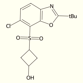 CC(C)(C)c1nc2ccc(Cl)c(S(=O)(=O)C3CC(O)C3)c2o1